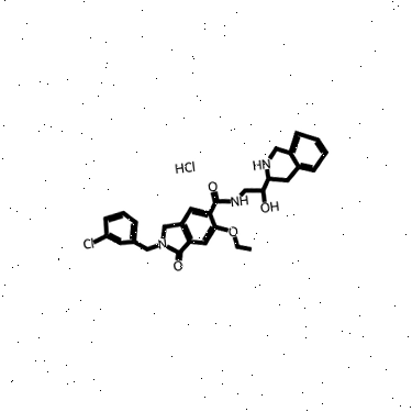 CCOc1cc2c(cc1C(=O)NCC(O)C1Cc3ccccc3CN1)CN(Cc1cccc(Cl)c1)C2=O.Cl